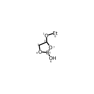 CCOC1COB(O)O1